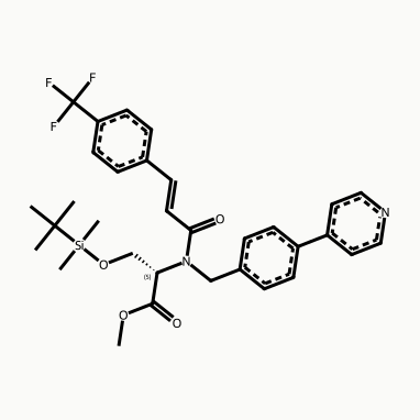 COC(=O)[C@H](CO[Si](C)(C)C(C)(C)C)N(Cc1ccc(-c2ccncc2)cc1)C(=O)C=Cc1ccc(C(F)(F)F)cc1